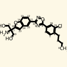 CCCCc1ccc(-c2nc(-c3ccc4oc(C(N)(CO)CO)cc4c3)no2)cc1Cl